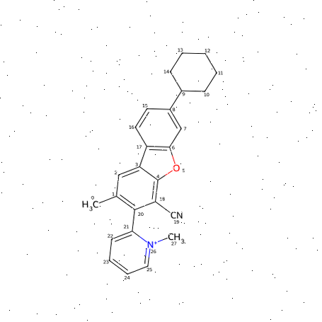 Cc1cc2c(oc3cc(C4CCCCC4)ccc32)c(C#N)c1-c1cccc[n+]1C